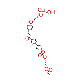 C=CC(=O)OCCCCOC(=O)Oc1ccc(-c2ccc(C(=O)/C=C/c3ccc(OCCCCOC(=O)C(=C)CO)cc3)cc2)cc1